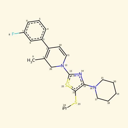 CC1=C(c2cccc(F)c2)C=CN(c2nc(N3CCCCC3)c(SC(C)C)s2)C1